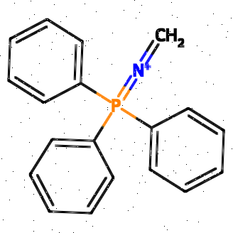 C=[N+]=P(c1ccccc1)(c1ccccc1)c1ccccc1